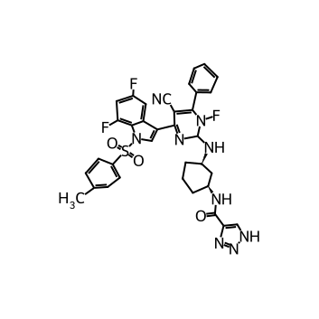 Cc1ccc(S(=O)(=O)n2cc(C3=NC(N[C@@H]4CCC[C@H](NC(=O)c5c[nH]nn5)C4)N(F)C(c4ccccc4)=C3C#N)c3cc(F)cc(F)c32)cc1